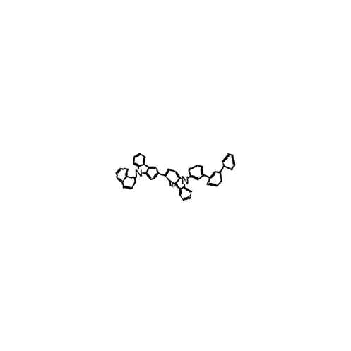 C1=CCC(C2C=C(C3=CCCC(N4C5=CC=C(c6ccc7c(c6)c6ccccc6n7C6CC=Cc7ccccc76)C6C[C@@]56c5ccccc54)=C3)C=CC2)C=C1